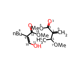 C=C(C(=O)OC)C(C)OC.CCCCC(=CO)C(=O)OC